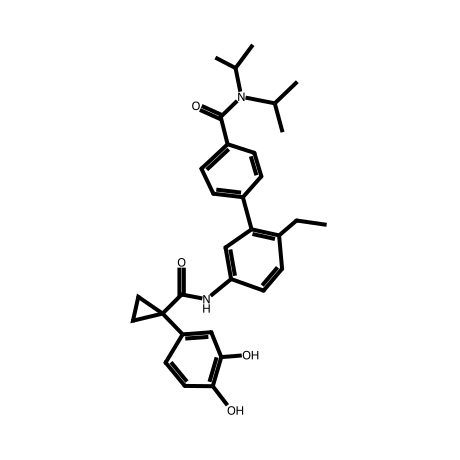 CCc1ccc(NC(=O)C2(c3ccc(O)c(O)c3)CC2)cc1-c1ccc(C(=O)N(C(C)C)C(C)C)cc1